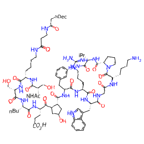 CCCCCCCCCCCC(=O)NCCC(=O)NCCCC[C@H](NC(=O)[C@H](CO)NC(C)=O)C(=O)N[C@@H](CO)C(=O)N[C@@H](CCCC)C(=O)N[C@@H](CCC(=O)O)C(=O)C1CC(O)C[C@H]1C(=O)NC(Cc1ccccc1)C(=O)N[C@@H](CCCNC(=N)N)C(=O)N[C@@H](Cc1c[nH]c2ccccc12)C(=O)NCC(=O)N[C@@H](CCCCN)C(=O)N1CCC[C@H]1C(=O)N[C@H](C(N)=O)C(C)C